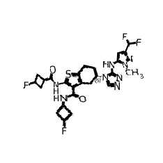 Cn1nc(C(F)F)cc1Nc1nncn1[C@H]1CCc2sc(NC(=O)C3CC(F)C3)c(C(=O)NC3CC(F)C3)c2C1